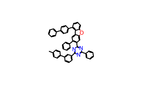 Cc1ccc(-c2cccc(-c3nc(-c4ccccc4)nc(-c4cc5oc6cccc(-c7ccc(-c8ccccc8)cc7)c6c5cc4-c4ccccc4)n3)c2)cc1